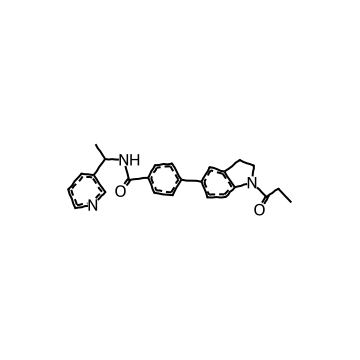 CCC(=O)N1CCc2cc(-c3ccc(C(=O)NC(C)c4cccnc4)cc3)ccc21